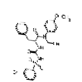 CCN(C(=O)C(Cc1ccccc1)NC(=O)NS(=O)(=O)c1cccc(Br)c1)c1ccc(OC)cc1